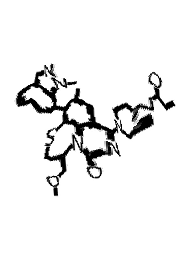 C=CC(=O)N1CCN(c2nc(=O)n3c4c(c(-c5cccc6cnn(C)c56)c(C)cc24)SCC3COC)CC1